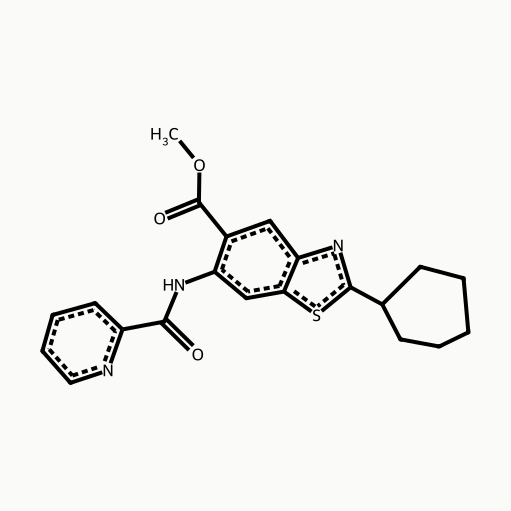 COC(=O)c1cc2nc(C3CCCCC3)sc2cc1NC(=O)c1ccccn1